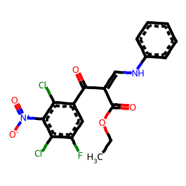 CCOC(=O)/C(=C\Nc1ccccc1)C(=O)c1cc(F)c(Cl)c([N+](=O)[O-])c1Cl